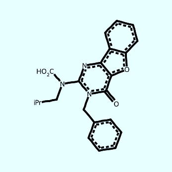 CC(C)CN(C(=O)O)c1nc2c(oc3ccccc32)c(=O)n1Cc1ccccc1